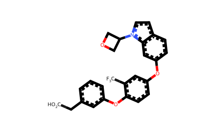 O=C(O)Cc1cccc(Oc2ccc(Oc3ccc4ccn(C5COC5)c4c3)cc2C(F)(F)F)c1